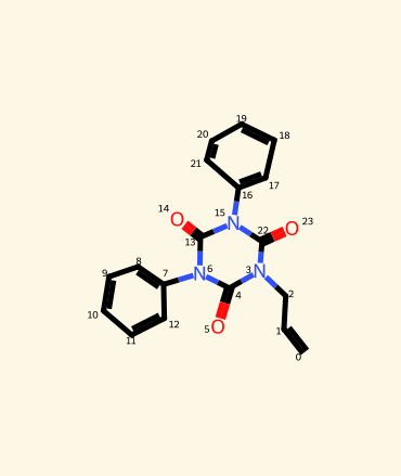 C=CCn1c(=O)n(-c2ccccc2)c(=O)n(-c2ccccc2)c1=O